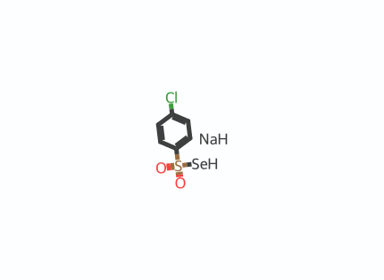 O=S(=O)([SeH])c1ccc(Cl)cc1.[NaH]